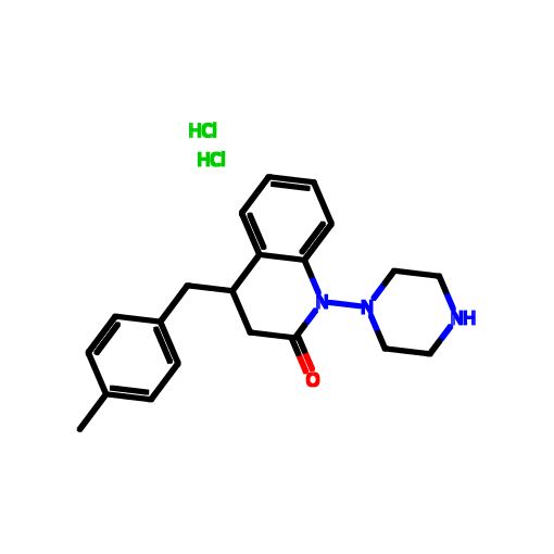 Cc1ccc(CC2CC(=O)N(N3CCNCC3)c3ccccc32)cc1.Cl.Cl